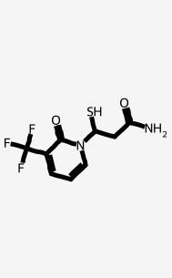 NC(=O)CC(S)n1cccc(C(F)(F)F)c1=O